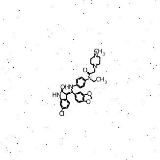 CCN(C(=O)CN1CCN(C)CC1)c1ccc(N/C(=C2\C(=O)Nc3cc(Cl)ccc32)c2ccc3c(c2)OCO3)cc1